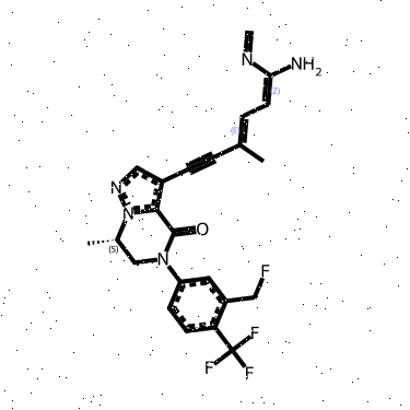 C=N/C(N)=C\C=C(/C)C#Cc1cnn2c1C(=O)N(c1ccc(C(F)(F)F)c(CF)c1)C[C@@H]2C